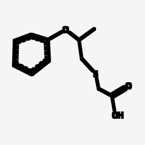 CC(CSCC(=O)O)Oc1ccccc1